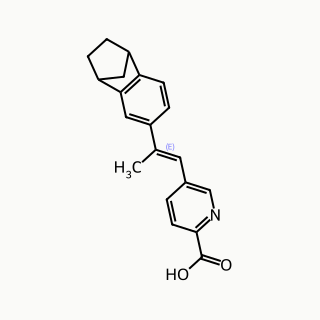 C/C(=C\c1ccc(C(=O)O)nc1)c1ccc2c(c1)C1CCC2C1